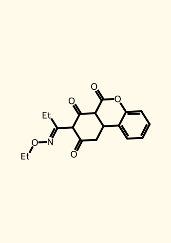 CCON=C(CC)C1C(=O)CC2c3ccccc3OC(=O)C2C1=O